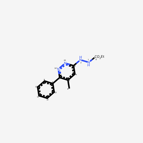 CCOC(=O)NNc1cc(C)c(-c2ccccc2)nn1